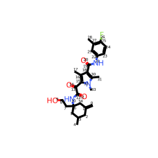 C=C1CC(C)CC(CCO)(NC(=O)C(=O)c2c(C)c(C(=O)Nc3ccc(F)c(C)c3)c(C)n2C)C1